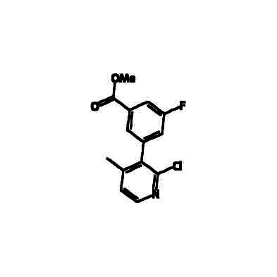 COC(=O)c1cc(F)cc(-c2c(C)ccnc2Cl)c1